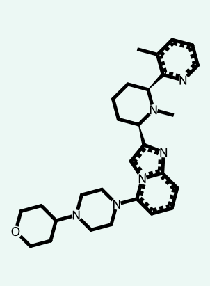 Cc1cccnc1[C@@H]1CCC[C@H](c2cn3c(N4CCN(C5CCOCC5)CC4)cccc3n2)N1C